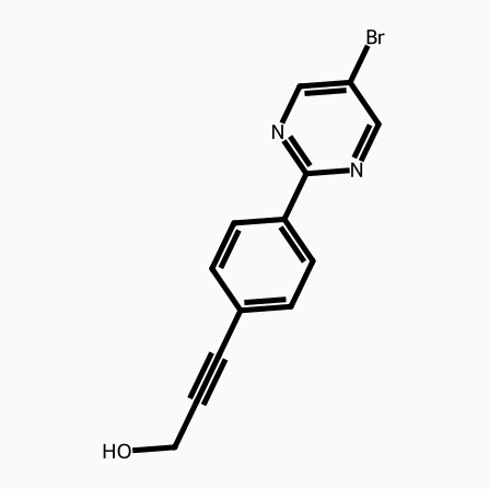 OCC#Cc1ccc(-c2ncc(Br)cn2)cc1